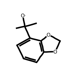 CC(C)([O])c1cccc2c1OCO2